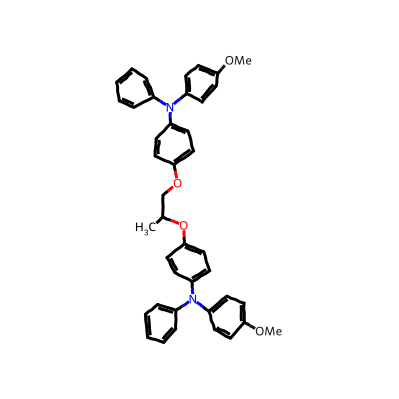 COc1ccc(N(c2ccccc2)c2ccc(OCC(C)Oc3ccc(N(c4ccccc4)c4ccc(OC)cc4)cc3)cc2)cc1